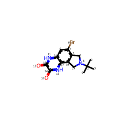 CC(C)(C)N1Cc2c(Br)cc3[nH]c(=O)c(=O)[nH]c3c2C1